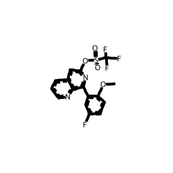 COc1ccc(F)cc1-c1nc(OS(=O)(=O)C(F)(F)F)cc2cccnc12